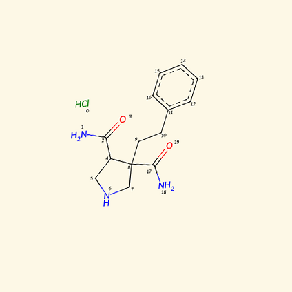 Cl.NC(=O)C1CNCC1(CCc1ccccc1)C(N)=O